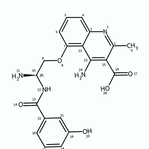 Cc1nc2cccc(OC[C@H](N)NC(=O)c3cccc(O)c3)c2c(N)c1C(=O)O